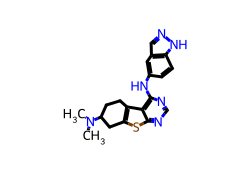 CN(C)C1CCc2c(sc3ncnc(Nc4ccc5[nH]ncc5c4)c23)C1